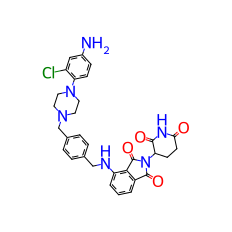 Nc1ccc(N2CCN(Cc3ccc(CNc4cccc5c4C(=O)N(C4CCC(=O)NC4=O)C5=O)cc3)CC2)c(Cl)c1